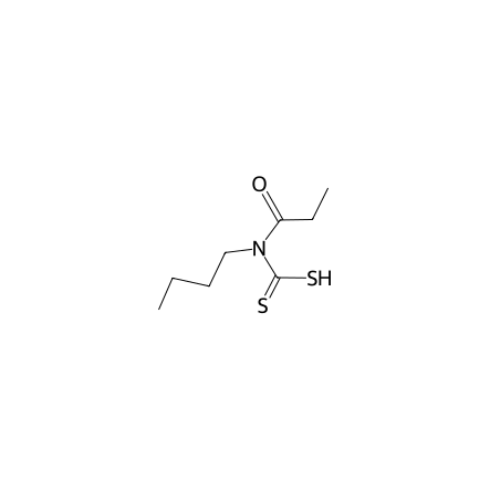 CCCCN(C(=O)CC)C(=S)S